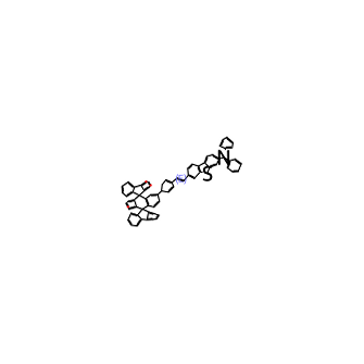 C1=CC(c2ccc3c(c2)C2(c4ccccc4-c4ccccc42)c2ccccc2C32c3ccccc3-c3ccccc32)CC=C1/C=C/c1ccc2c(c1)sc1cc(N(c3ccccc3)c3ccccc3)ccc12